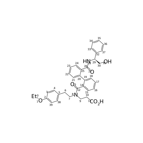 CCOc1ccc(CCN(CCC(=O)O)C(=O)c2ccccc2-c2ccccc2C(=O)N[C@H](CO)c2ccccc2)cc1